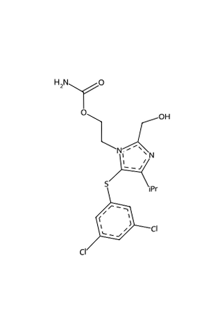 CC(C)c1nc(CO)n(CCOC(N)=O)c1Sc1cc(Cl)cc(Cl)c1